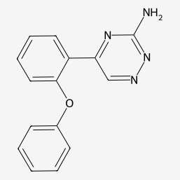 Nc1nncc(-c2ccccc2Oc2ccccc2)n1